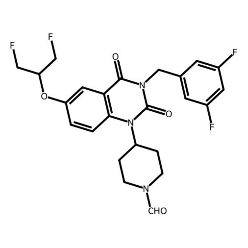 O=CN1CCC(n2c(=O)n(Cc3cc(F)cc(F)c3)c(=O)c3cc(OC(CF)CF)ccc32)CC1